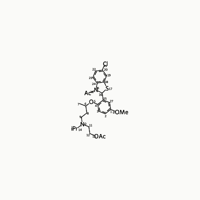 COc1ccc(OC(C)CCN(CCOC(C)=O)C(C)C)c(C2Sc3cc(Cl)ccc3N2C(C)=O)c1